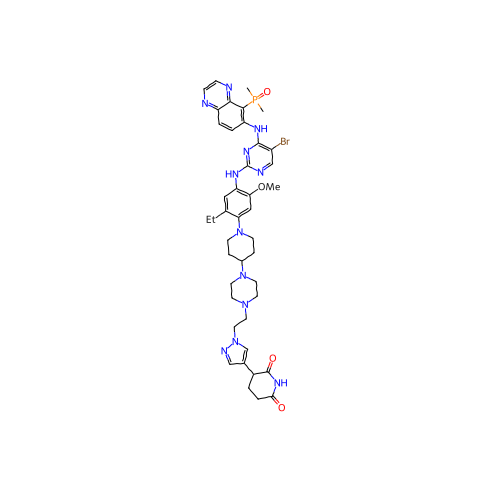 CCc1cc(Nc2ncc(Br)c(Nc3ccc4nccnc4c3P(C)(C)=O)n2)c(OC)cc1N1CCC(N2CCN(CCn3cc(C4CCC(=O)NC4=O)cn3)CC2)CC1